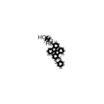 CC(C)(O)C(C)(C)OBc1cccc2c1-c1ccccc1C21c2ccccc2-c2c1ccc1c2Sc2ccccc2S1